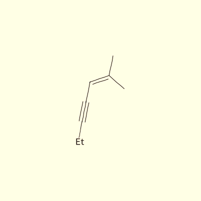 CCC#CC=C(C)C